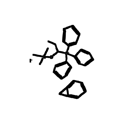 CCC(O[Si](C)(C)C)[P+](c1ccccc1)(c1ccccc1)c1ccccc1.[I-].c1ccc2c(c1)C2